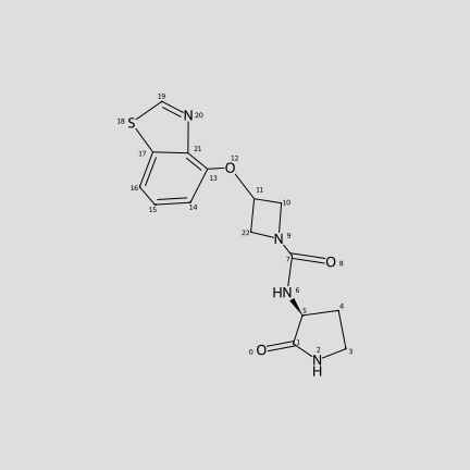 O=C1NCC[C@@H]1NC(=O)N1CC(Oc2cccc3scnc23)C1